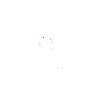 CCCCn1on(CCCCC(=O)OC)oc2[nH]c(C(F)(F)F)nc21